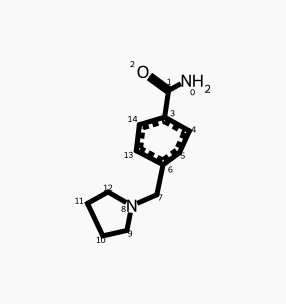 NC(=O)c1ccc(CN2CCCC2)cc1